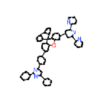 c1ccc(-c2cc(-c3ccc(-c4ccc5c(c4)Oc4cc(-c6cc(-c7ccccn7)nc(-c7ccccn7)c6)ccc4C54c5ccccc5-c5ccccc54)cc3)nc(-c3ccccc3)n2)cc1